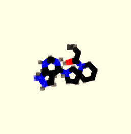 N#CCC(=O)N1CCCCC12CCN(c1ncnc3[nH]ncc13)C2